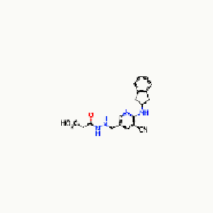 N#Cc1cc(CNNC(=O)CC(=O)O)cnc1NC1Cc2ccccc2C1